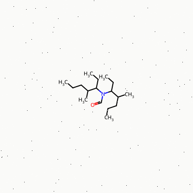 CCCC(C)C(CC)N(C=O)C(CC)C(C)CCC